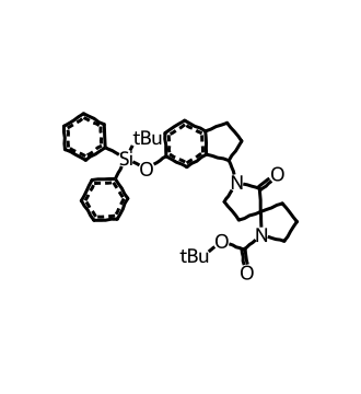 CC(C)(C)OC(=O)N1CCCC12CCN(C1CCc3ccc(O[Si](c4ccccc4)(c4ccccc4)C(C)(C)C)cc31)C2=O